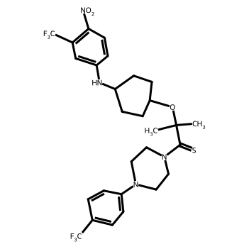 CC(C)(OC1CCC(Nc2ccc([N+](=O)[O-])c(C(F)(F)F)c2)CC1)C(=S)N1CCN(c2ccc(C(F)(F)F)cc2)CC1